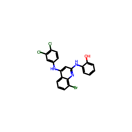 Oc1ccccc1Nc1cc(Nc2ccc(Cl)c(Cl)c2)c2cccc(Br)c2n1